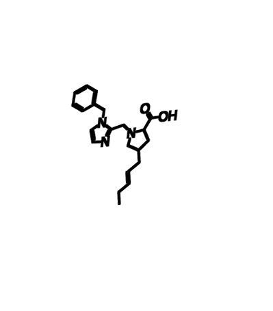 CCC=CCC1CC(C(=O)O)N(Cc2nccn2Cc2ccccc2)C1